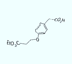 CCOC(=O)CCOc1ccc(CC(=O)O)cc1